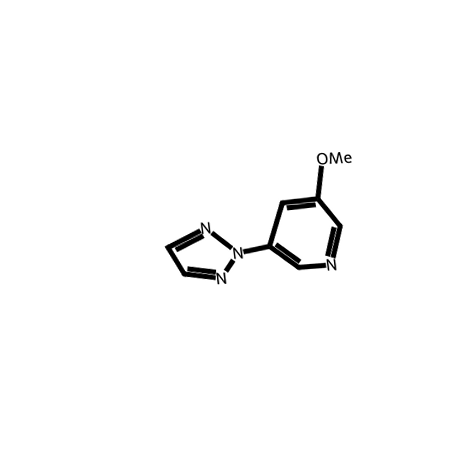 COc1cncc(-n2nccn2)c1